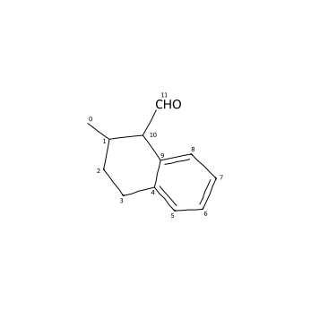 CC1CCc2ccccc2C1C=O